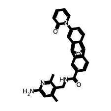 Cc1cc(N)nc(C)c1CNC(=O)c1ccc2c(c1)c1oc2c2ccc(-n3ccccc3=O)cc21